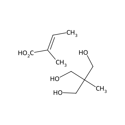 CC(CO)(CO)CO.CC=C(C)C(=O)O